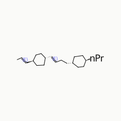 C/C=C/[C@H]1CC[C@H](/C=C/CC[C@H]2CC[C@H](CCC)CC2)CC1